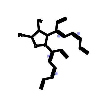 C=C/C=C\C=C(/C=C)C1C(C(C)C)C(C(C)C)ON1/C(C=C)=C/C=C\C=C